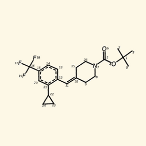 CC(C)(C)OC(=O)N1CCC(=Cc2ccc(C(F)(F)F)cc2C2CC2)CC1